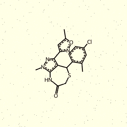 Cc1cc(-c2nn(C)c3c2C(c2ccc(Cl)cc2C)SCC(=O)N3)no1